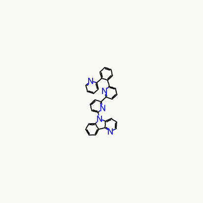 c1ccc(-c2ccccc2-c2cccc(-c3cccc(-n4c5ccccc5c5ncccc54)n3)n2)nc1